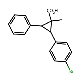 CC1(C(=O)O)C(c2ccccc2)C1c1ccc(Br)cc1